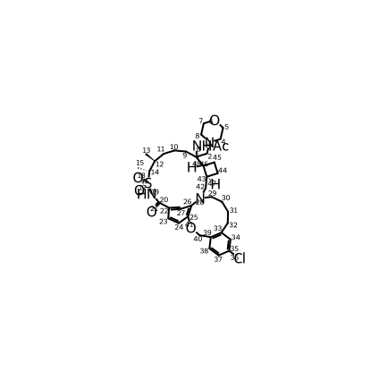 CC(=O)N[C@]1(CN2CCOCC2)CCC[C@H](C)[C@@H](C)S(=O)(=O)NC(=O)c2ccc3c(c2)N(CCCCc2cc(Cl)ccc2CO3)C[C@@H]2CC[C@H]21